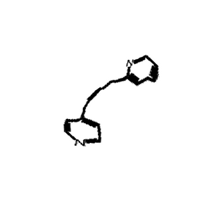 C(=Cc1ccncc1)Cc1ccccn1